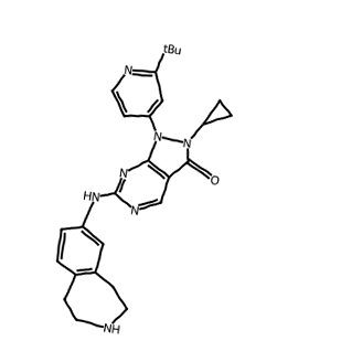 CC(C)(C)c1cc(-n2c3nc(Nc4ccc5c(c4)CCNCC5)ncc3c(=O)n2C2CC2)ccn1